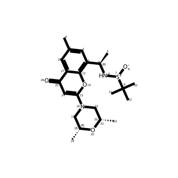 Cc1cc([C@@H](C)N[S+]([O-])C(C)(C)C)c2oc(N3C[C@@H](C)O[C@@H](C)C3)cc(=O)c2c1